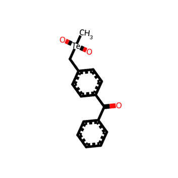 C[Te](=O)(=O)Cc1ccc(C(=O)c2ccccc2)cc1